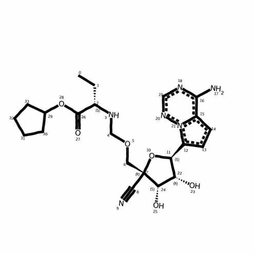 CC[C@H](NCOC[C@@]1(C#N)O[C@@H](c2ccc3c(N)ncnn23)[C@H](O)[C@@H]1O)C(=O)OC1CCCC1